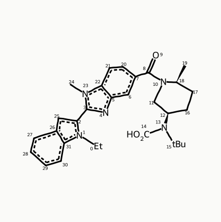 CCn1c(-c2nc3cc(C(=O)N4C[C@H](N(C(=O)O)C(C)(C)C)CC[C@@H]4C)ccc3n2C)cc2ccccc21